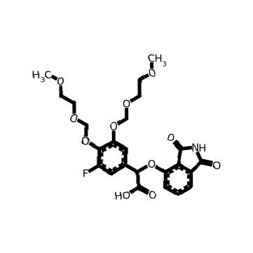 COCCOCOc1cc(C(Oc2cccc3c2C(=O)NC3=O)C(=O)O)cc(F)c1OCOCCOC